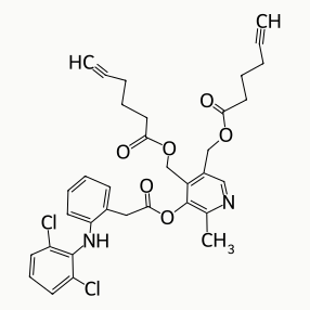 C#CCCCC(=O)OCc1cnc(C)c(OC(=O)Cc2ccccc2Nc2c(Cl)cccc2Cl)c1COC(=O)CCCC#C